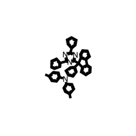 Cc1ccc(N(c2ccc(C)cc2)c2ccc(C3(c4nc(-c5ccccc5)nc(-c5ccccc5)n4)c4ccccc4-c4ccccc43)cc2)cc1